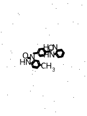 Cc1ccc2[nH]c(=O)n(Cc3ccc(C(=O)Nc4ccccc4N)cc3)c2c1